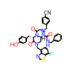 N#Cc1ccc(CN2CC(=O)N3[C@@H](Cc4ccc(O)cc4)C(=O)N(Cc4ccc(F)c5scnc45)C[C@@H]3N2C(=O)NCc2ccccc2)cc1